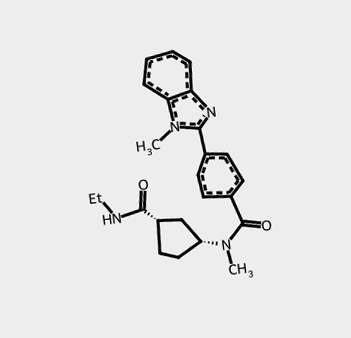 CCNC(=O)[C@H]1CC[C@@H](N(C)C(=O)c2ccc(-c3nc4ccccc4n3C)cc2)C1